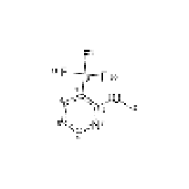 COc1n[c]ccc1C(F)(F)F